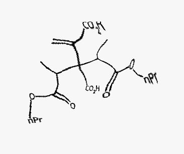 C=C(C(=O)O)C(C(=O)O)(C(C)C(=O)OCCC)C(C)C(=O)OCCC